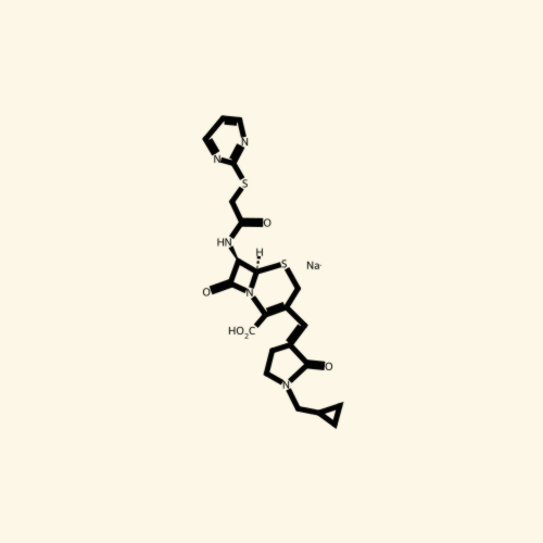 O=C(CSc1ncccn1)N[C@@H]1C(=O)N2C(C(=O)O)=C(C=C3CCN(CC4CC4)C3=O)CS[C@H]12.[Na]